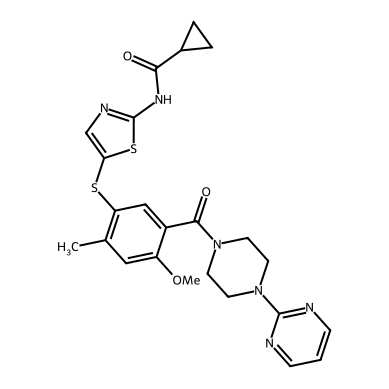 COc1cc(C)c(Sc2cnc(NC(=O)C3CC3)s2)cc1C(=O)N1CCN(c2ncccn2)CC1